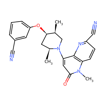 C[C@H]1CN(c2cc(=O)n(C)c3ccc(C#N)nc23)[C@@H](C)C[C@H]1Oc1cccc(C#N)c1